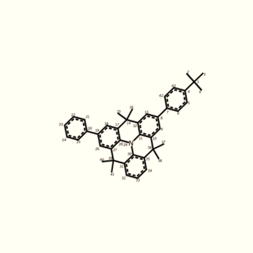 CC(C)(C)c1ccc(-c2cc3c4c(c2)C(C)(C)c2cc(-c5ccccc5)cc5c2N4c2c(cccc2C3(C)C)C5(C)C)cc1